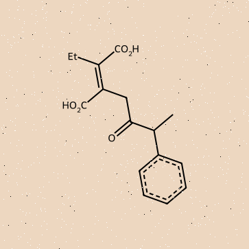 CC/C(C(=O)O)=C(/CC(=O)C(C)c1ccccc1)C(=O)O